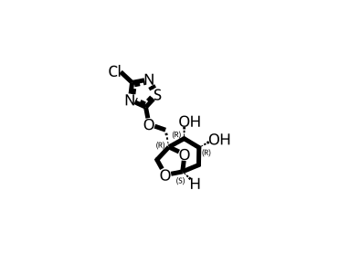 O[C@@H]1C[C@H]2OC[C@](COc3nc(Cl)ns3)(O2)[C@@H]1O